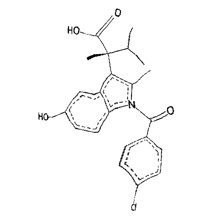 Cc1c([C@](C)(C(=O)O)C(C)C)c2cc(O)ccc2n1C(=O)c1ccc(Cl)cc1